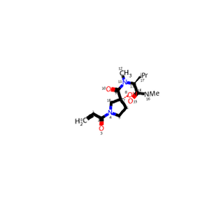 C=CC(=O)N1CC[C@](O)(C(=O)N(C)[C@H](C(=O)NC)C(C)C)C1